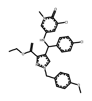 C=C(OCC)c1nn(Cc2ccc(OC)cc2)cc1C(Nc1cc(Cl)c(=O)n(C)c1)c1ccc(Cl)cc1